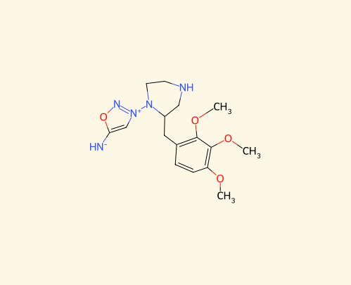 COc1ccc(CC2CNCCN2[n+]2cc([NH-])on2)c(OC)c1OC